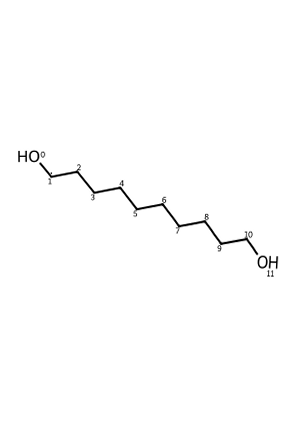 O[CH]CCCCCCCCCO